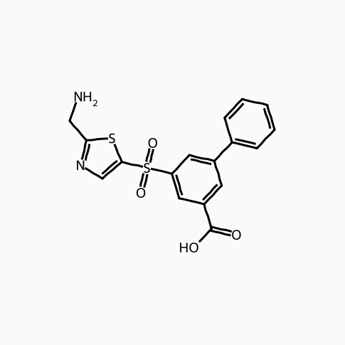 NCc1ncc(S(=O)(=O)c2cc(C(=O)O)cc(-c3ccccc3)c2)s1